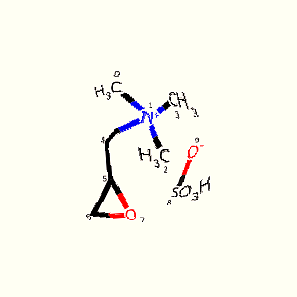 C[N+](C)(C)CC1CO1.O=S(=O)([O-])O